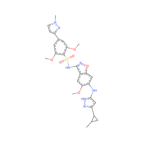 COc1cc2c(NS(=O)(=O)c3c(OC)cc(-c4ccn(C)n4)cc3OC)noc2cc1Nc1cc(C2CC2C)n[nH]1